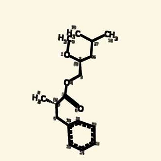 CO[C@H](COC(=O)[C@@H](C)Cc1ccccc1)CC(C)C